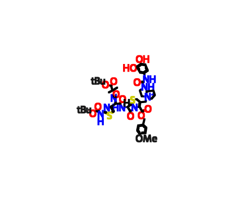 COc1ccc(COC(=O)C2=C(C[N+]3(CCNC(=O)Nc4ccc(O)c(O)c4)CCCC3)CS[C@@H]3[C@H](NC(=O)/C(=N\OC(C)(C)C(=O)OC(C)(C)C)c4csc(NC(=O)OC(C)(C)C)n4)C(=O)N23)cc1